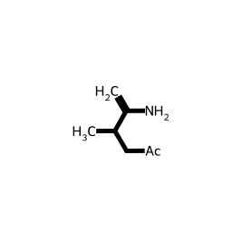 C=C(N)C(C)CC(C)=O